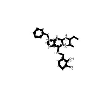 CCC(Nc1nc(NCc2cccc(Cl)c2O)c2ncn(Cc3ccccc3)c2n1)C(C)O